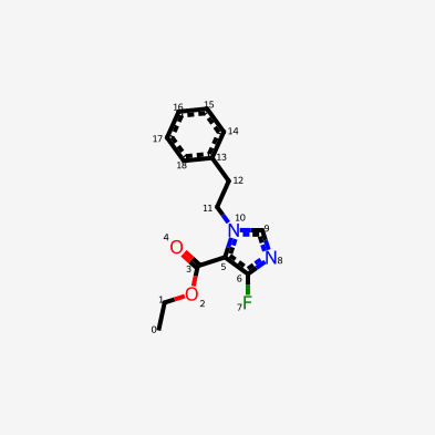 CCOC(=O)c1c(F)ncn1CCc1ccccc1